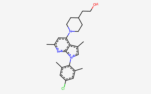 Cc1cc(N2CCC(CCO)CC2)c2c(C)cn(-c3c(C)cc(Cl)cc3C)c2n1